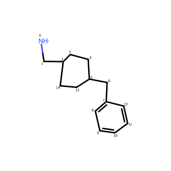 [NH]CC1CCC(Cc2ccccc2)CC1